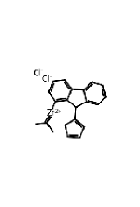 C[C](C)=[Zr+2][c]1cccc2c1C(C1=CC=CC1)c1ccccc1-2.[Cl-].[Cl-]